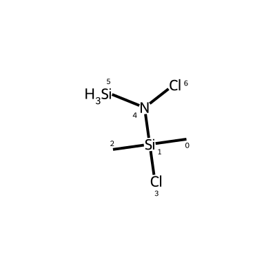 C[Si](C)(Cl)N([SiH3])Cl